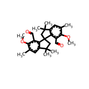 COc1c(C)cc2c(c1C=O)C1(CC2(C)C)CC(C)(C)c2cc(C)c(OC)c(C=O)c21